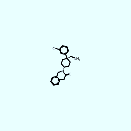 NC[C@]1(c2cccc(Cl)c2)CC[C@@H](N2Cc3ccccc3CC2=O)CC1